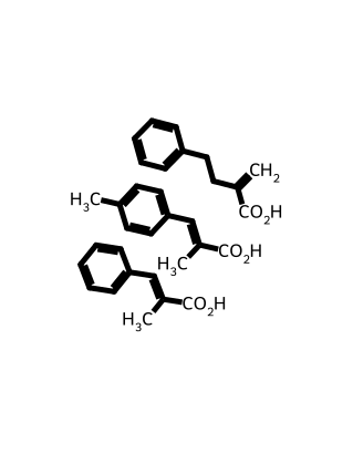 C=C(CCc1ccccc1)C(=O)O.CC(=Cc1ccc(C)cc1)C(=O)O.CC(=Cc1ccccc1)C(=O)O